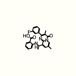 Cc1cc(C(C)Nc2ccccc2C(=O)O)c2nc(-c3cccc(F)c3)c(C)c(=O)n2c1